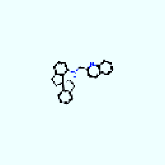 c1ccc2c(c1)CC[C@@]21CCc2cccc(NCc3ccc4ccccc4n3)c21